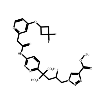 CC(C)(C)OC(=O)c1cn(CC(F)CC(C(=O)O)(C(=O)O)c2ccc(NC(=O)Cc3cc(OC4CC(F)(F)C4)ccn3)nn2)nn1